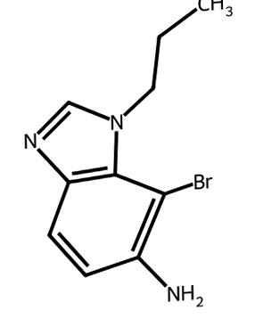 CCCn1cnc2ccc(N)c(Br)c21